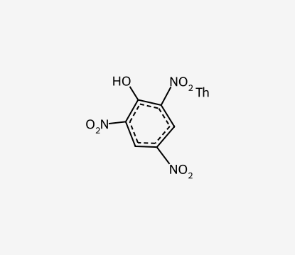 O=[N+]([O-])c1cc([N+](=O)[O-])c(O)c([N+](=O)[O-])c1.[Th]